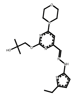 CCc1ccc(NN=Cc2cc(N3CCOCC3)nc(OCC(C)(C)O)n2)s1